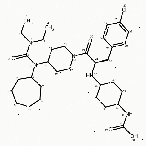 CCN(CC)C(=O)N(C1CCCCCC1)C1CCN(C(=O)[C@@H](Cc2ccc(Cl)cc2)NC2CCC(NC(=O)O)CC2)CC1